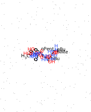 CCCCCC(NC(=O)CNC(=O)C(CCCC)NC(=O)C(CO)NC(=O)CNC(=O)CNC(=O)C(Cc1ccc(O)cc1)NC(=O)C(Cc1ccccc1)NC(=O)C(Cc1ccccc1)NC(=O)C(N)C(C)O)C(=O)NC(CCCC)C(=O)NC